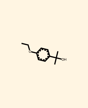 CCOc1ccc(C(C)(C)O)cc1